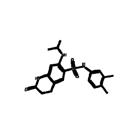 Cc1ccc(NS(=O)(=O)c2cc3c(cc2NC(C)C)NC(=O)CC3)cc1C